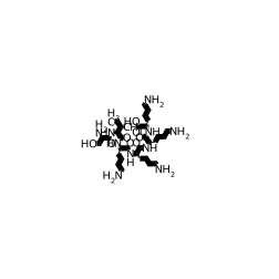 CC[C@H](C)[C@H](NC(=O)[C@@H](N)CO)C(=O)N[C@@H](CCCCN)C(=O)N[C@@H](CCCCN)C(=O)N[C@@H](CCCCN)C(=O)N[C@@H](CCCCN)C(=O)O